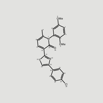 COc1ccc(OC)c(-n2c(C)ccc(-c3nc(-c4ccc(Cl)cc4)cs3)c2=O)c1